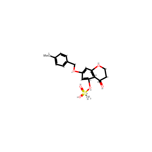 COc1ccc(COc2cc3c(c(OS(=O)(=O)C(F)(F)F)c2)C(=O)CCO3)cc1